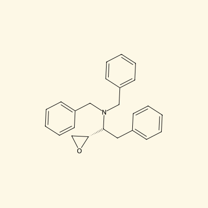 c1ccc(CC([C@H]2CO2)N(Cc2ccccc2)Cc2ccccc2)cc1